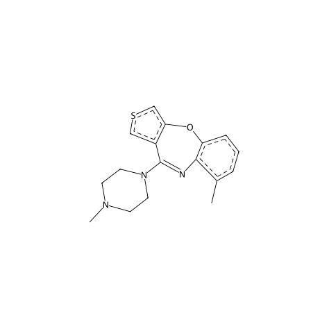 Cc1cccc2c1N=C(N1CCN(C)CC1)c1cscc1O2